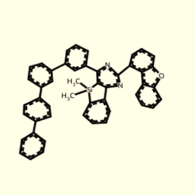 C[Si]1(C)c2ccccc2-c2nc(-c3cccc4oc5ccccc5c34)nc(-c3cccc(-c4cccc(-c5ccc(-c6ccccc6)cc5)c4)c3)c21